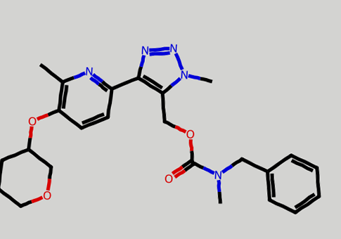 Cc1nc(-c2nnn(C)c2COC(=O)N(C)Cc2ccccc2)ccc1OC1CCCOC1